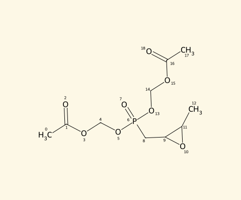 CC(=O)OCOP(=O)(CC1OC1C)OCOC(C)=O